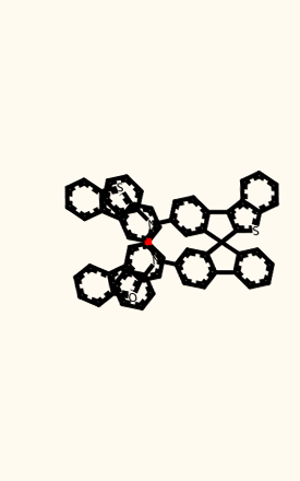 c1ccc(N(c2ccc3c(c2)C2(c4ccccc4-c4ccc(N(c5ccccc5)c5ccc6sc7ccccc7c6c5)cc42)c2sc4ccccc4c2-3)c2ccc3oc4ccccc4c3c2)cc1